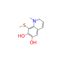 CSc1c(O)c(O)cc2ccc[n+](C)c12